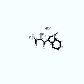 Cl.Cn1cc(C(=O)C(N)C(N)=O)c2ccccc21